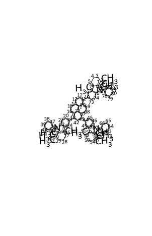 CC1(C)CCCC2(C)c3cc(-c4ccc5ccc6c(-c7ccc8c(c7)C7(C)CCCC(C)(C)C7(C)N8c7ccccc7)cc(-c7ccc8c(c7)C7(C)CCCC(C)(C)C7(C)N8c7ccccc7)c7ccc4c5c67)ccc3N(c3ccccc3)C12C